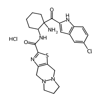 Cl.NC1(C(=O)c2cc3cc(Cl)ccc3[nH]2)CCCCC1NC(=O)c1nc2c(s1)CN1CCCN1C2